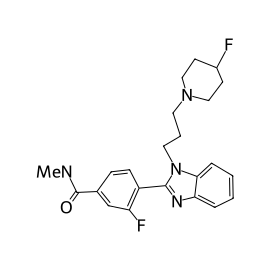 CNC(=O)c1ccc(-c2nc3ccccc3n2CCCN2CCC(F)CC2)c(F)c1